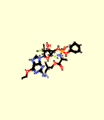 CCOc1nc(N)nc2c1ncn2[C@@H]1O[C@]2(F)C(OP(=O)(NC(C)C(=O)OCC(C)C)Oc3ccccc3)[C@]2(O)[C@@]1(C)F